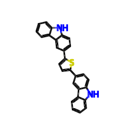 c1ccc2c(c1)[nH]c1ccc(-c3ccc(-c4ccc5[nH]c6ccccc6c5c4)s3)cc12